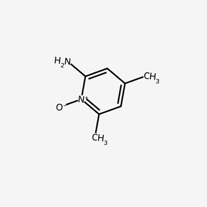 Cc1cc(C)[n+]([O-])c(N)c1